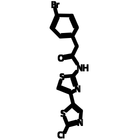 O=C(Cc1ccc(Br)cc1)Nc1nc(-c2cnc(Cl)s2)cs1